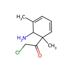 CC1=CC=CC(C)(C(=O)CCl)C1N